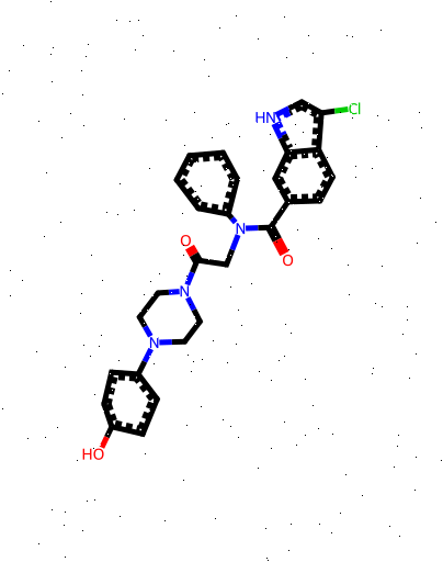 O=C(CN(C(=O)c1ccc2c(Cl)c[nH]c2c1)c1ccccc1)N1CCN(c2ccc(O)cc2)CC1